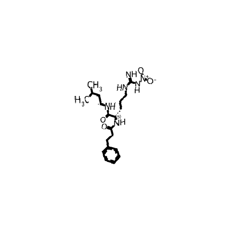 CC(C)C[CH]NC(=O)[C@H](CCCNC(=N)N[N+](=O)[O-])NC(=O)CCc1ccccc1